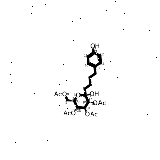 CC(=O)OC[C@H]1O[C@](O)(CCCCc2ccc(O)cc2)[C@H](OC(C)=O)[C@@H](OC(C)=O)[C@@H]1OC(C)=O